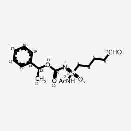 CC(=O)NS(=O)(CCCCC=O)=NC(=O)O[C@@H](C)c1ccccc1